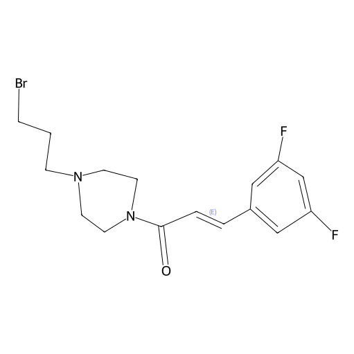 O=C(/C=C/c1cc(F)cc(F)c1)N1CCN(CCCBr)CC1